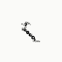 CCOc1nc(-c2ccc(-c3ccc(C4=CCC(CC(=O)OC)CC4)nc3)cc2)nn1COCC[Si](C)(C)C